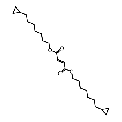 O=C(/C=C/C(=O)OCCCCCCCC1CC1)OCCCCCCCC1CC1